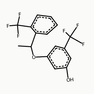 CC(Oc1cc(O)cc(C(F)(F)F)c1)c1ccccc1C(F)(F)F